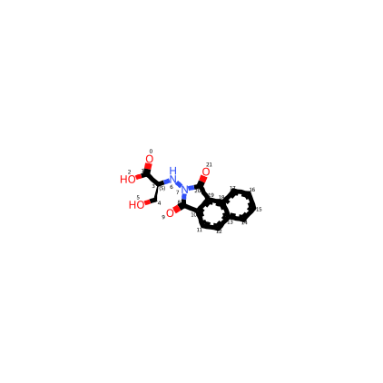 O=C(O)[C@H](CO)NN1C(=O)c2ccc3ccccc3c2C1=O